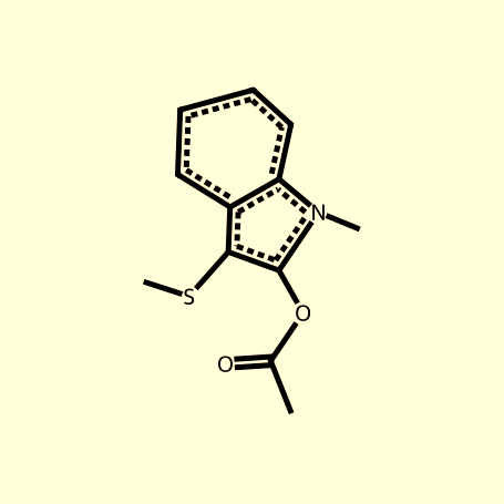 CSc1c(OC(C)=O)n(C)c2ccccc12